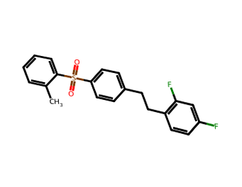 Cc1ccccc1S(=O)(=O)c1ccc(CCc2ccc(F)cc2F)cc1